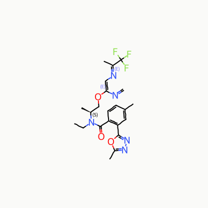 C=N/C(=C\N=C(/C)C(F)(F)F)OC[C@H](C)N(CC)C(=O)c1ccc(C)cc1-c1nnc(C)o1